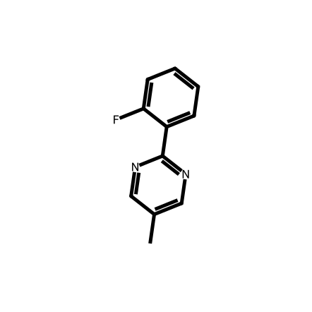 Cc1cnc(-c2ccccc2F)nc1